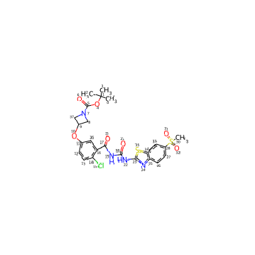 CC(C)(C)OC(=O)N1CC(Oc2ccc(Cl)c(C(=O)NC(=O)Nc3nc4ccc(S(C)(=O)=O)cc4s3)c2)C1